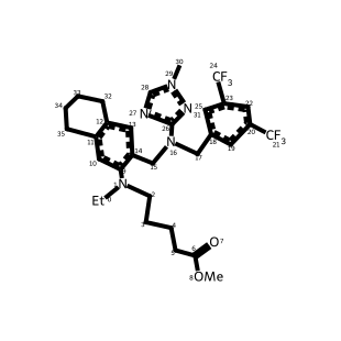 CCN(CCCCC(=O)OC)c1cc2c(cc1CN(Cc1cc(C(F)(F)F)cc(C(F)(F)F)c1)c1ncn(C)n1)CCCC2